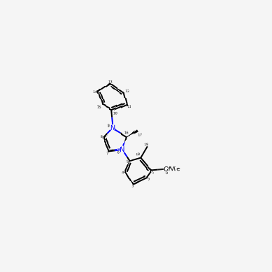 COc1cccc(N2C=CN(c3ccccc3)[C@H]2C)c1C